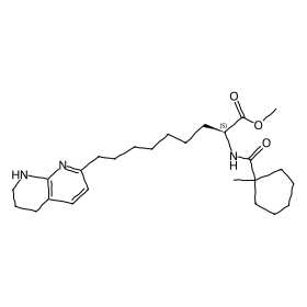 COC(=O)[C@H](CCCCCCCc1ccc2c(n1)NCCC2)NC(=O)C1(C)CCCCC1